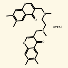 Cc1cc2occ(CN(C)CCN(C)Cc3coc4cc(C)c(C)cc4c3=O)c(=O)c2cc1C.Cl.Cl